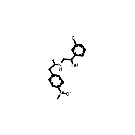 CC(Cc1ccc([S+](C)[O-])cc1)NCC(O)c1cccc(Cl)c1